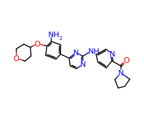 Nc1cc(-c2ccnc(Nc3ccc(C(=O)N4CCCC4)nc3)n2)ccc1OC1CCOCC1